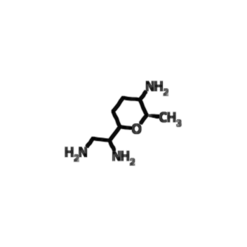 C[C@H]1OC(C(N)CN)CCC1N